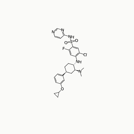 CN(C)[C@H]1C[C@@H](c2cccc(OC3CC3)c2)CC[C@@H]1Nc1cc(F)c(S(=O)(=O)Nc2ccncn2)cc1Cl